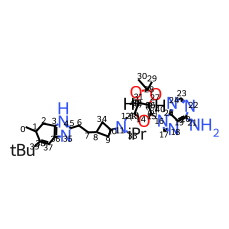 CC1Cc2[nH]c(CCC3CC(N(C[C@H]4O[C@@H](n5cnc6c(N)ncnc65)[C@@H]5OC(C)(C)O[C@@H]54)C(C)C)C3)nc2C=C1C(C)(C)C